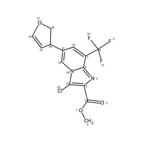 COC(=O)c1nc2c(C(F)(F)F)cc(C3C=COC3)cn2c1Cl